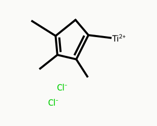 CC1=C(C)C(C)=[C]([Ti+2])C1.[Cl-].[Cl-]